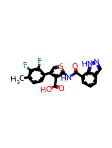 Cc1ccc(-c2csc(NC(=O)c3cccc4cn[nH]c34)c2C(=O)O)c(F)c1F